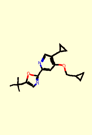 CC(C)(C)c1cnc(-c2cc(OCC3CC3)c(C3CC3)cn2)o1